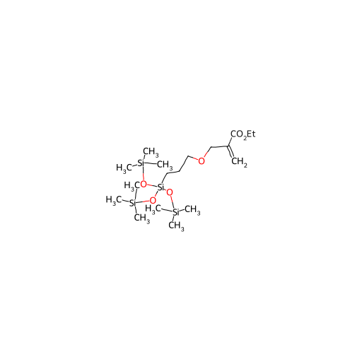 C=C(COCCC[Si](O[Si](C)(C)C)(O[Si](C)(C)C)O[Si](C)(C)C)C(=O)OCC